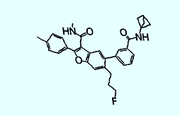 CNC(=O)c1c(-c2ccc(C)cc2)oc2cc(CCCF)c(-c3cccc(C(=O)NC45CC(C4)C5)c3)cc12